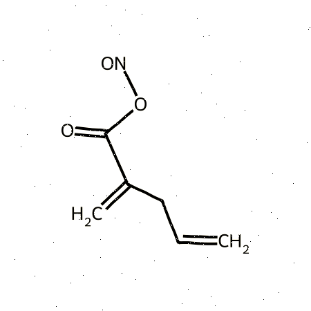 C=CCC(=C)C(=O)ON=O